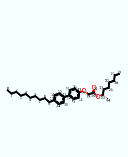 CCCCCCCCCCc1ccc(-c2ccc(OCC(=O)O[C@@H](C)CCCCCC)cc2)cc1